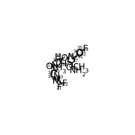 CC(C)(N)c1cc(OC2[C@H]3CN(C(=O)c4ccc5nc(C(F)F)cn5c4)C[C@@H]23)nc(-c2ccc(F)cc2)c1